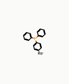 [Re].c1ccc(P(c2ccccc2)c2ccccc2)cc1